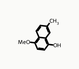 COc1ccc(O)c2cc(C)ccc12